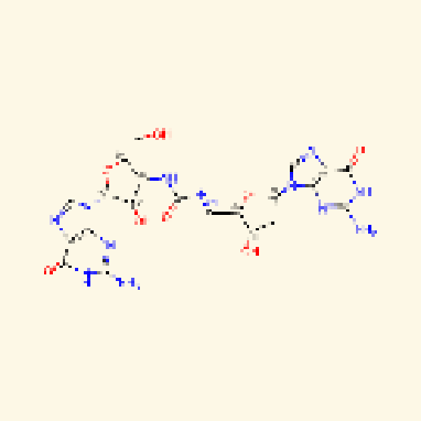 Nc1nc2c(ncn2[C@@H]2O[C@H](CO)[C@@H](NC(=O)/N=C/[C@H]3O[C@@H](n4cnc5c(=O)[nH]c(N)nc54)C[C@@H]3O)[C@H]2O)c(=O)[nH]1